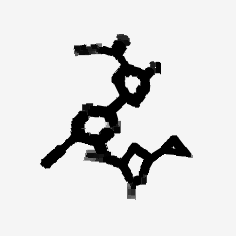 C#Cc1cnc(-c2ccc(Cl)c(C(=O)NC)c2)nc1NC1CC(C2CC2)=NN1